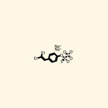 CCC(=Cc1ccc(OP([O-])(=S)S(=O)(=O)[O-])cc1)CC.[Na+].[Na+]